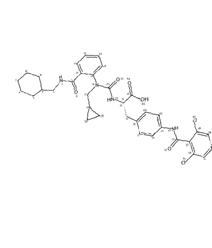 O=C(NCC1CCCCC1)c1ccccc1N(CC1CC1)C(=O)N[C@@H](Cc1ccc(NC(=O)c2c(Cl)cncc2Cl)cc1)C(=O)O